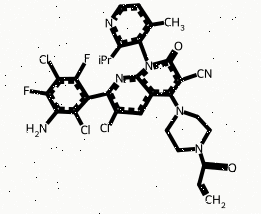 C=CC(=O)N1CCN(c2c(C#N)c(=O)n(-c3c(C)ccnc3C(C)C)c3nc(-c4c(F)c(Cl)c(F)c(N)c4Cl)c(Cl)cc23)CC1